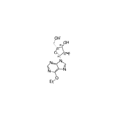 CCOc1ncnc2c1ncn2[C@@H]1O[C@H](CO)[C@@H](O)[C@H]1F